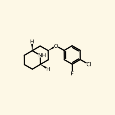 Fc1cc(O[C@@H]2C[C@H]3CCC[C@@H](C2)N3)ccc1Cl